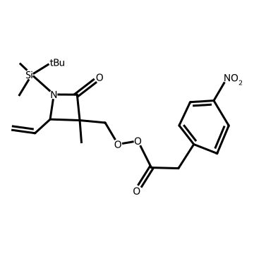 C=CC1N([Si](C)(C)C(C)(C)C)C(=O)C1(C)COOC(=O)Cc1ccc([N+](=O)[O-])cc1